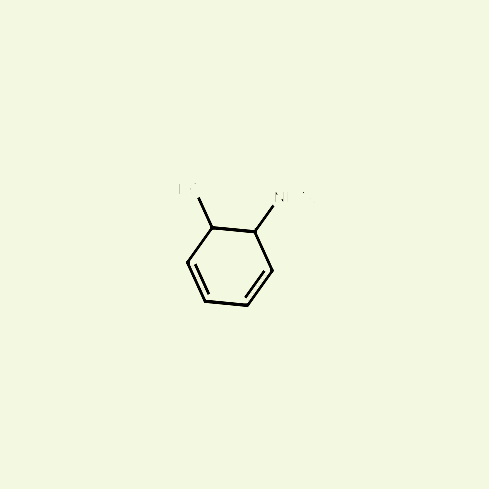 CC(=O)N[C]1C=CC=CC1C